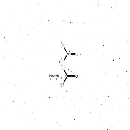 N.O=C([O-])O.O=[N+]([O-])O.[Na+]